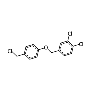 ClCc1ccc(OCc2ccc(Cl)c(Cl)c2)cc1